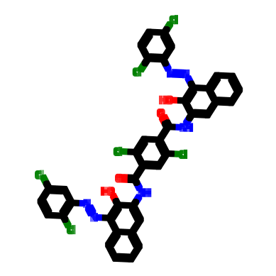 O=C(Nc1cc2ccccc2c(N=Nc2cc(Cl)ccc2Cl)c1O)c1cc(Cl)c(C(=O)Nc2cc3ccccc3c(N=Nc3cc(Cl)ccc3Cl)c2O)cc1Cl